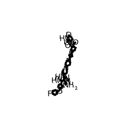 N=C(c1ccc(Oc2ccc(F)cc2)cc1)c1c(N)ncnc1NC1CCN(C2CCN(C3CN(c4ccc5c(c4)C(=O)N(C4CCC(=O)NC4=O)C5=O)C3)CC2)CC1